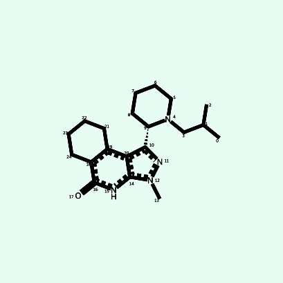 CC(C)CN1CCCC[C@H]1c1nn(C)c2[nH]c(=O)c3c(c12)CCCC3